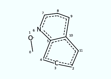 C[O].c1ccc2ncccc2c1